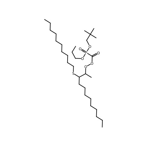 CCCCCCCCCCSC(CCCCCCCCC)C(C)OOC(=O)P(=O)(OCCC)OCC(C)(C)C